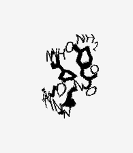 CN(C)CCOc1cc(-c2cn[nH]c2)ccc1N(CCc1cnc[nH]1)C(=O)C1COc2ccc(C(N)=O)cc2C1